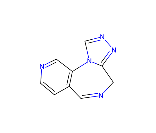 C1=NCc2nncn2-c2cnccc21